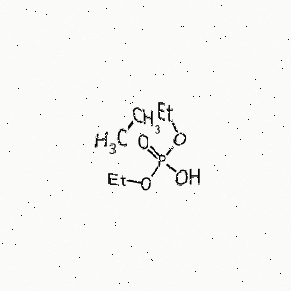 CC.CCOP(=O)(O)OCC